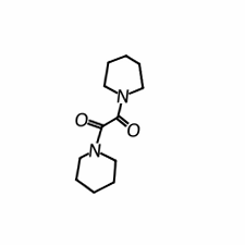 O=C(C(=O)N1CCCCC1)N1CCCCC1